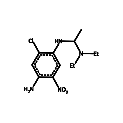 CCN(CC)C(C)Nc1cc([N+](=O)[O-])c(N)cc1Cl